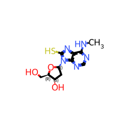 CNc1ncnc2c1nc(S)n2[C@H]1C[C@H](O)[C@@H](CO)O1